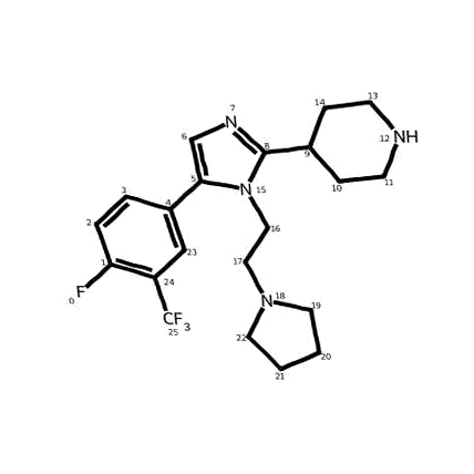 Fc1ccc(-c2cnc(C3CCNCC3)n2CCN2CCCC2)cc1C(F)(F)F